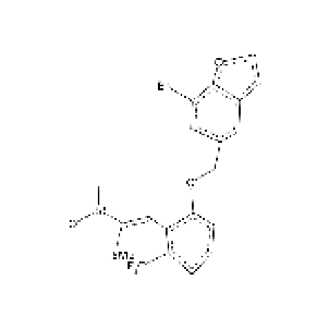 CS/C(=C\c1c(OCc2cc(Br)c3occc3c2)cccc1C(F)(F)F)[S+](C)[O-]